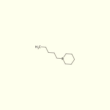 CCCCCB1CCCCC1